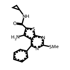 CSc1nc(-c2ccccc2)c2c(N)c(C(=O)NC3CC3)sc2n1